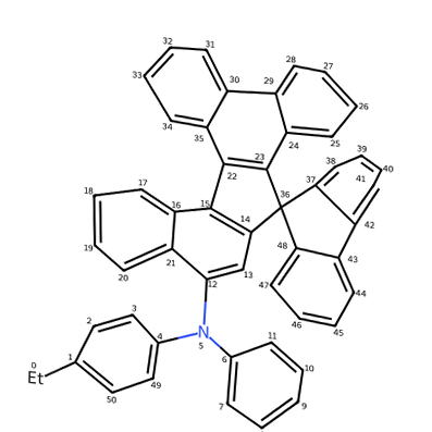 CCc1ccc(N(c2ccccc2)c2cc3c(c4ccccc24)-c2c(c4ccccc4c4ccccc24)C32c3ccccc3-c3ccccc32)cc1